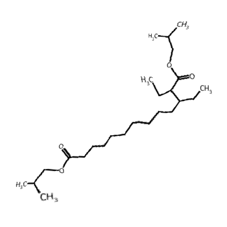 CCC(CCCCCCCCCC(=O)OCC(C)C)C(CC)C(=O)OCC(C)C